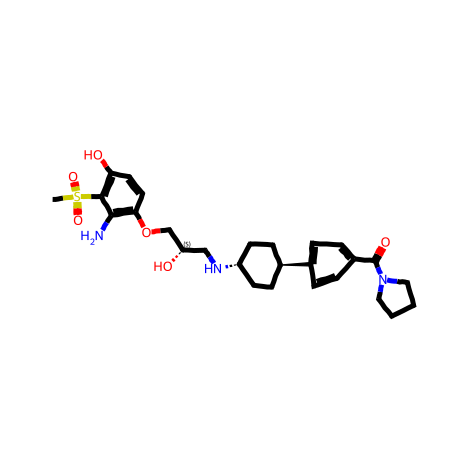 CS(=O)(=O)c1c(O)ccc(OC[C@@H](O)CN[C@H]2CC[C@H](c3ccc(C(=O)N4CCCC4)cc3)CC2)c1N